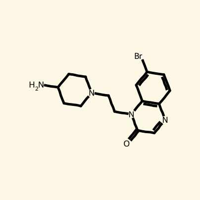 NC1CCN(CCn2c(=O)cnc3ccc(Br)cc32)CC1